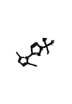 Cc1ccc(C)n1-c1ccn(C(F)(F)Br)n1